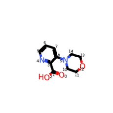 O=C(O)c1ncccc1N1CCOCC1